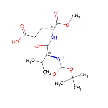 COC(=O)[C@@H](CCC(=O)O)NC(=O)[C@@H](NC(=O)OC(C)(C)C)C(C)C